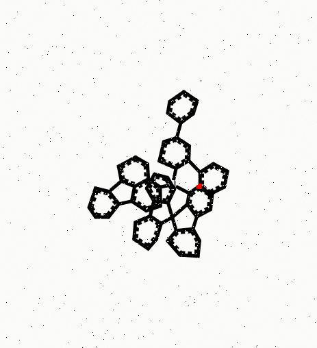 c1ccc(-c2ccc(N(c3cccc4c3C3(c5ccccc5-c5ccccc53)c3ccccc3-4)c3ccc4c5c(cccc35)-c3ccccc3-4)c(-c3ccccc3)c2)cc1